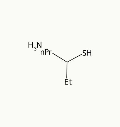 CCCC(S)CC.N